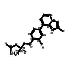 Cc1cn2nccc(-c3ccc(OC[C@@](C)(N)CC(C)C)c(F)c3)c2n1